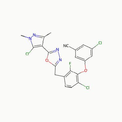 Cc1nn(C)c(Cl)c1-c1nnc(Cc2ccc(Cl)c(Oc3cc(Cl)cc(C#N)c3)c2F)o1